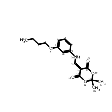 CCCCOc1cccc(NC=C2C(=O)OC(C)(C)OC2=O)c1